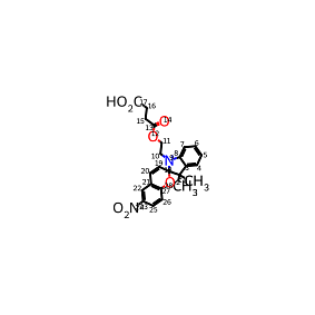 CC1(C)c2ccccc2N(CCOC(=O)CCC(=O)O)C12C=Cc1cc([N+](=O)[O-])ccc1O2